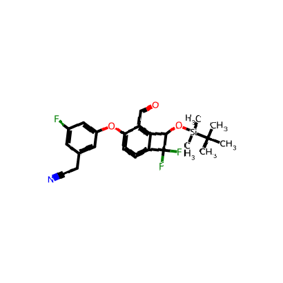 CC(C)(C)[Si](C)(C)OC1C2=C(C=O)C(Oc3cc(F)cc(CC#N)c3)=C=C=C2C1(F)F